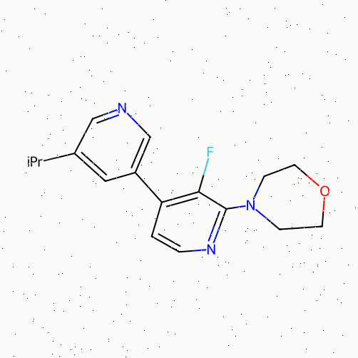 CC(C)c1cncc(-c2ccnc(N3CCOCC3)c2F)c1